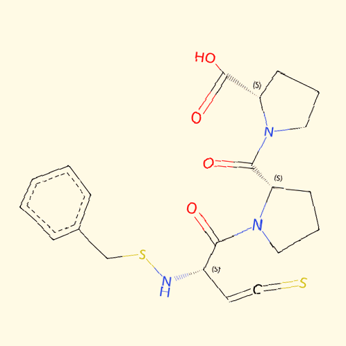 O=C(O)[C@@H]1CCCN1C(=O)[C@@H]1CCCN1C(=O)[C@H](C=C=S)NSCc1ccccc1